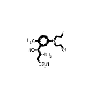 Cc1ccc(N(CCCl)CCCl)cc1C(O)[C@H](N)CC(=O)O